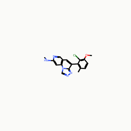 CNc1cc2c(cn1)cc(-c1c(C)ccc(OC)c1Cl)c1nncn12